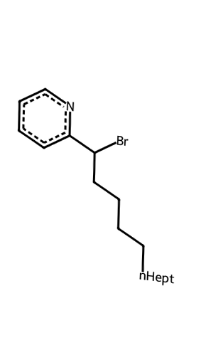 CCCCCCCCCCCC(Br)c1ccccn1